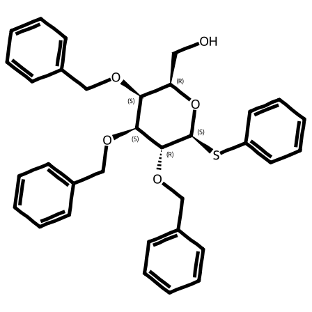 OC[C@H]1O[C@@H](Sc2ccccc2)[C@H](OCc2ccccc2)[C@@H](OCc2ccccc2)[C@H]1OCc1ccccc1